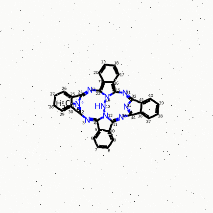 C[N+]1=C2/N=c3/c4ccccc4/c4n3Nn3c(c5ccccc5c3/N=C1/C1=CCCC=C12)/N=C1N=C(/N=4)c2ccccc2\1